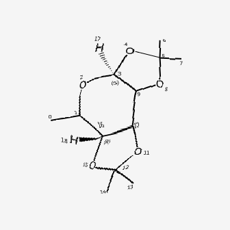 CC1O[C@H]2OC(C)(C)OC2C2OC(C)(C)O[C@H]12